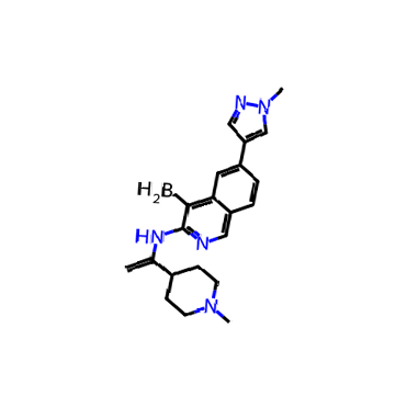 Bc1c(NC(=C)C2CCN(C)CC2)ncc2ccc(-c3cnn(C)c3)cc12